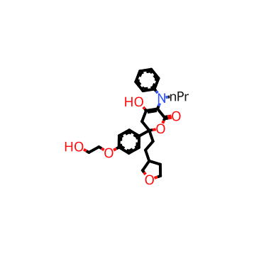 CCCN(C1=C(O)CC(CCC2CCOC2)(c2ccc(OCCO)cc2)OC1=O)c1ccccc1